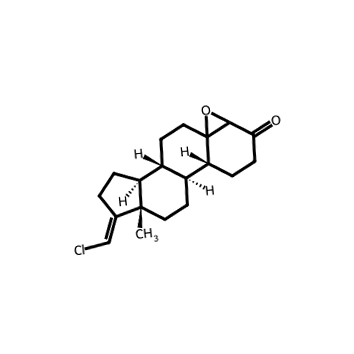 C[C@]12CC[C@H]3[C@@H](CCC45OC4C(=O)CC[C@H]35)[C@@H]1CC/C2=C\Cl